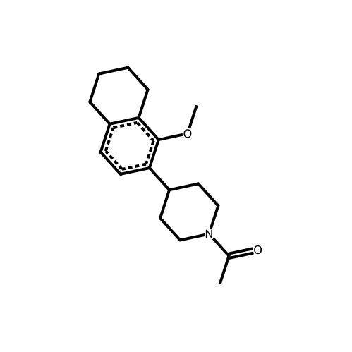 COc1c(C2CCN(C(C)=O)CC2)ccc2c1CCCC2